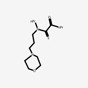 CCCC(=O)C(=S)N(CCC)CCCN1CCOCC1